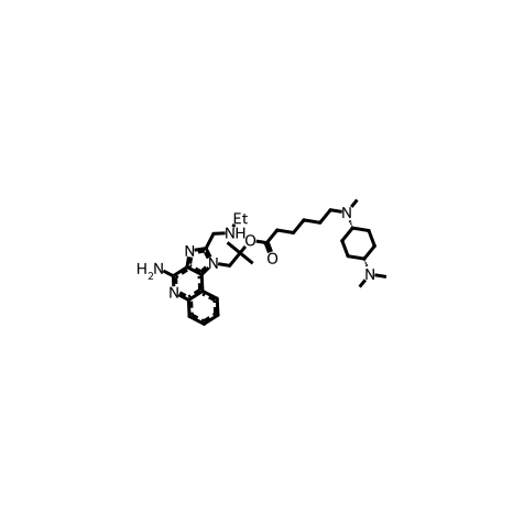 CCNCc1nc2c(N)nc3ccccc3c2n1CC(C)(C)OC(=O)CCCCCN(C)[C@H]1CC[C@@H](N(C)C)CC1